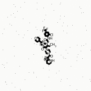 CCc1c(N2CCN(C(=O)c3noc4c3NCCC4)CC2)c(=O)n2nc(C3=CCOCC3)nc2n1CC(=O)Nc1ccc(C(F)(F)F)cc1Cl